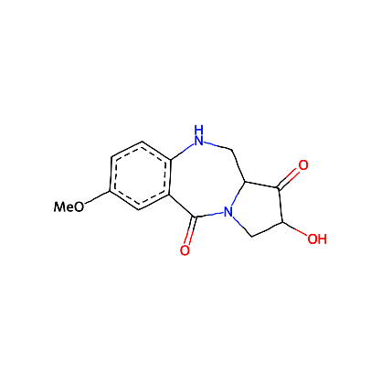 COc1ccc2c(c1)C(=O)N1CC(O)C(=O)C1CN2